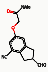 CNC(=O)COc1cc(C#N)c2c(c1)CC(C=O)C2